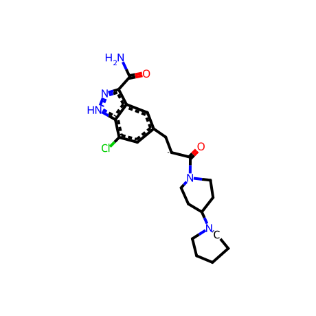 NC(=O)c1n[nH]c2c(Cl)cc(C[CH]C(=O)N3CCC(N4CCCCC4)CC3)cc12